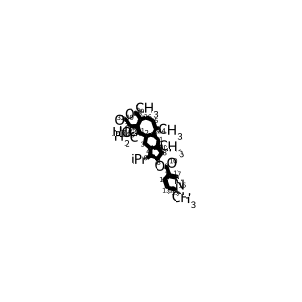 C=C1C2CC3C(C(C)C)C(OC(=O)c4ccc(C)nc4)CC3(C)CC2/C(C)=C\CC2C(C)OC(=O)C(O)C12O